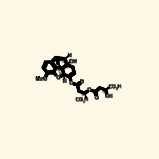 COc1ccc2c3c1O[C@@H]1C(OC(=O)C[C@H](OC(=O)C[C@H](O)C(=O)O)C(=O)O)=CC[C@]4(O)[C@@H](CCC[C@@]314)C2